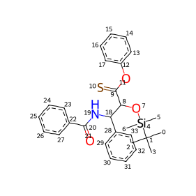 CC(C)(C)[Si](C)(C)OC(C(=S)Oc1ccccc1)C(NC(=O)c1ccccc1)c1ccccc1